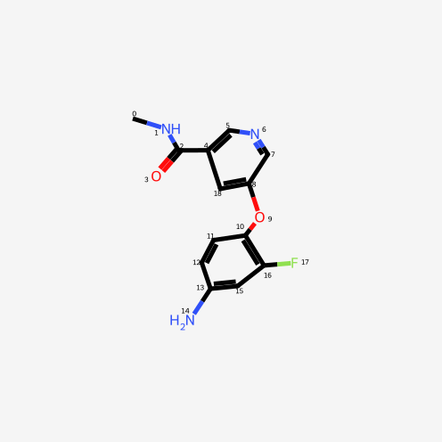 CNC(=O)c1cncc(Oc2ccc(N)cc2F)c1